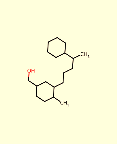 CC(CCCC1CC(CO)CCC1C)C1CCCCC1